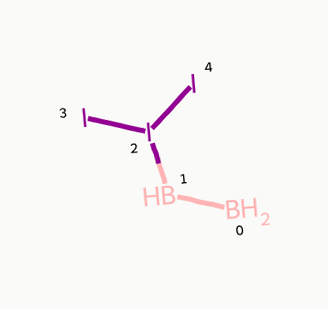 BBI(I)I